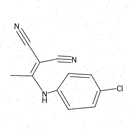 CC(Nc1ccc(Cl)cc1)=C(C#N)C#N